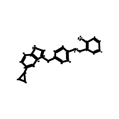 FC(F)(F)c1ccncc1CNc1ccc(Cc2c[nH]c3ncc(C4CC4)cc23)cn1